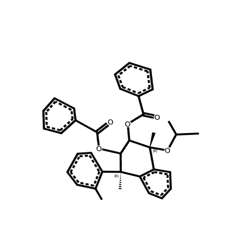 Cc1ccccc1[C@]1(C)c2ccccc2[C@@](C)(OC(C)C)C(OC(=O)c2ccccc2)C1OC(=O)c1ccccc1